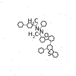 C=C(/N=C(\N=C(/CC)c1ccc(-c2ccccc2)cc1)c1ccccc1)c1cccc2c1oc1cccc(-c3cc(-c4ccccc4)c4sc5ccccc5c4c3)c12